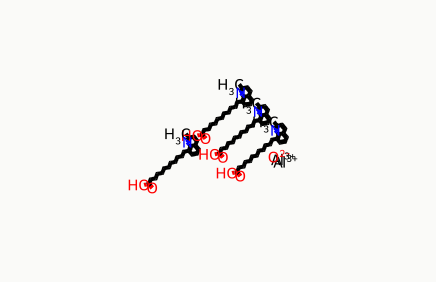 Cc1ccc2cccc(CCCCCCCCCCCC(=O)O)c2n1.Cc1ccc2cccc(CCCCCCCCCCCC(=O)O)c2n1.Cc1ccc2cccc(CCCCCCCCCCCC(=O)O)c2n1.Cc1ccc2cccc(CCCCCCCCCCCC(=O)O)c2n1.[Al+3].[Al+3].[O-2]